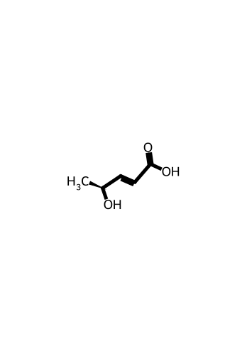 C[C@H](O)/C=C/C(=O)O